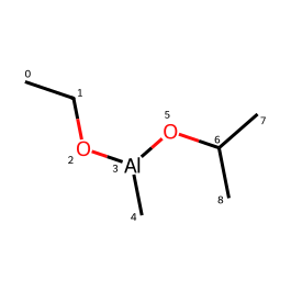 CC[O][Al]([CH3])[O]C(C)C